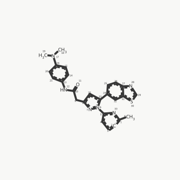 Cc1cccc(-n2nc(CC(=O)Nc3ccc(N(C)C)cc3)cc2-c2ccc3ncsc3c2)n1